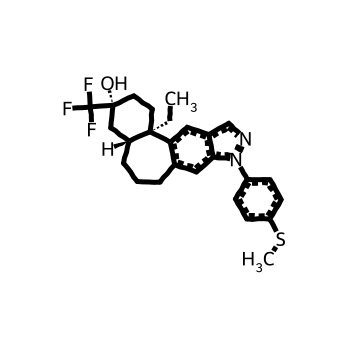 CC[C@@]12CC[C@](O)(C(F)(F)F)C[C@H]1CCCc1cc3c(cnn3-c3ccc(SC)cc3)cc12